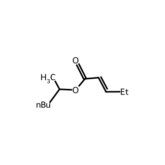 CCC=CC(=O)OC(C)CCCC